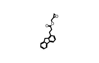 O=C(CCc1cccc2c1Cc1ccccc1-2)OCC1CO1